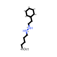 CCCCCCCCCCCCNNCCC1CCCCC1